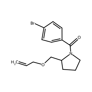 C=CCOCC1CCCN1C(=O)c1ccc(Br)cc1